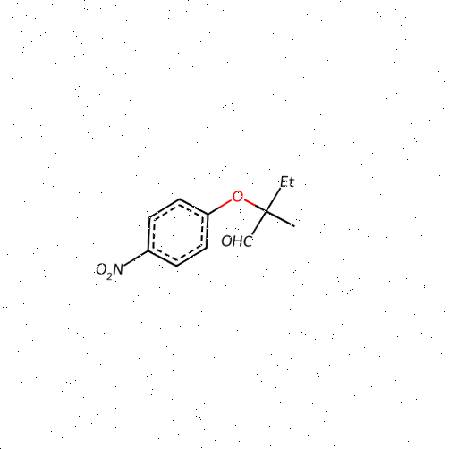 CCC(C)(C=O)Oc1ccc([N+](=O)[O-])cc1